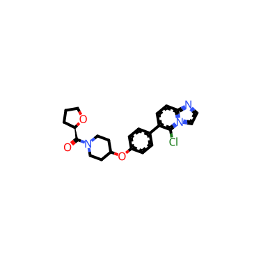 O=C([C@H]1CCCO1)N1CCC(Oc2ccc(-c3ccc4nccn4c3Cl)cc2)CC1